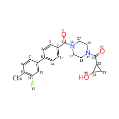 O=C(c1ccc(-c2ccc(Cl)c(F)c2)cc1)N1CCN(C(=O)C2CC2O)CC1